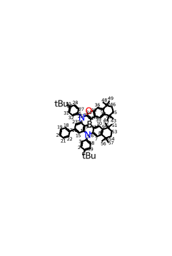 CC(C)(C)c1ccc(N2c3cc4c(cc3B3c5c2cc(-c2ccccc2)cc5N(c2ccc(C(C)(C)C)cc2)c2oc5cc6c(cc5c23)C(C)(C)CCC6(C)C)C(C)(C)CCC4(C)C)cc1